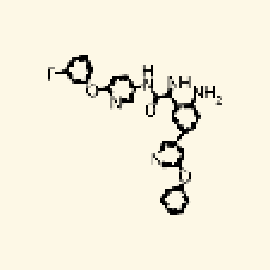 N=C(C(=O)Nc1ccc(Oc2cccc(F)c2)nc1)c1cc(-c2cncc(Oc3ccccc3)c2)ccc1N